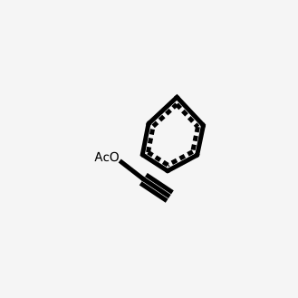 C#COC(C)=O.c1ccccc1